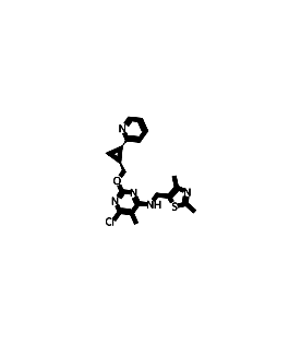 Cc1nc(C)c(CNc2nc(OC[C@H]3C[C@@H]3c3ccccn3)nc(Cl)c2C)s1